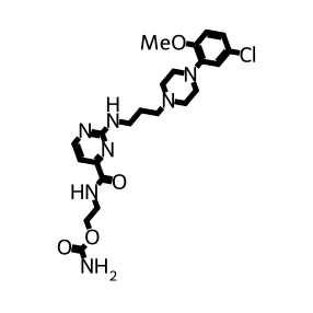 COc1ccc(Cl)cc1N1CCN(CCCNc2nccc(C(=O)NCCOC(N)=O)n2)CC1